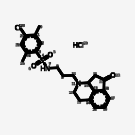 Cc1cc(S(=O)(=O)NCCCN2CCc3cccc4c3C2CC4=O)c(C)cc1Cl.Cl